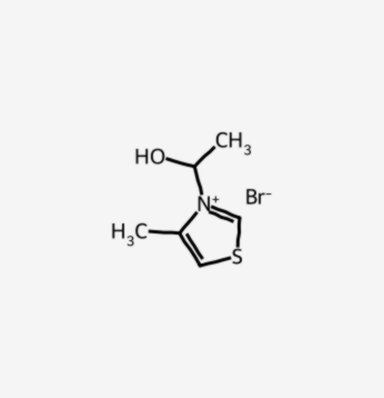 Cc1csc[n+]1C(C)O.[Br-]